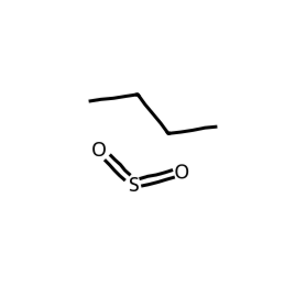 CCCC.O=S=O